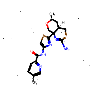 C[C@H]1C[C@H]2CSC(N)=NC2(c2nc(NC(=O)c3ccc(C(F)(F)F)cn3)cs2)CO1